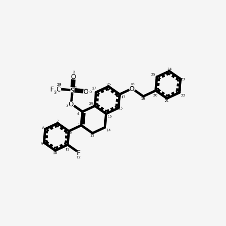 O=S(=O)(OC1=C(c2ccccc2F)CCc2cc(OCc3ccccc3)ccc21)C(F)(F)F